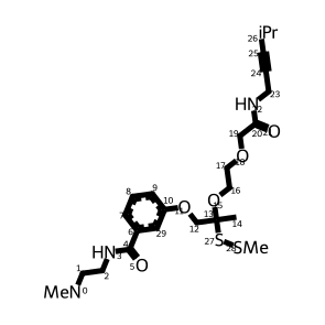 CNCCNC(=O)c1cccc(OCC(C)(OCCOCC(=O)NCC#CC(C)C)SSC)c1